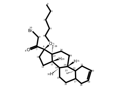 CCCCCO[C@]1(C(=O)CBr)CC[C@H]2[C@@H]3CCC4CC=CC[C@]4(C)[C@H]3CC[C@@]21C